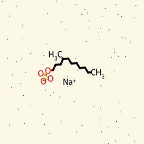 CCCCCCCC(C)CCCOS(=O)(=O)[O-].[Na+]